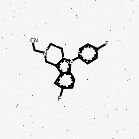 N#CCN1CCc2c(c3cc(F)ccc3n2-c2ccc(F)cc2)C1